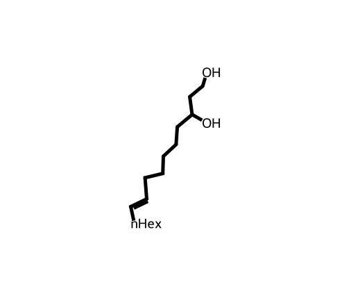 CCCCCC/C=C/CCCCCC(O)CCO